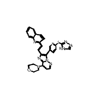 C(=Cc1nc2c(N3CCOCC3)ccnn2c1-c1ccc(Sc2nnc[nH]2)nc1)c1ccc2ccccc2n1